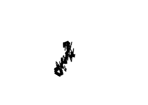 Cc1nc(N2CC(c3nc4ccccc4n3C)C2)cc(-n2cccn2)n1